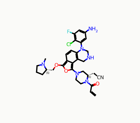 C=CC(=O)N1CCN(c2oc(OC[C@@H]3CCCN3C)c3ccc4c(c23)CNCN4c2cc(N)cc(F)c2Cl)C[C@@H]1CC#N